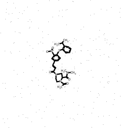 CC(=O)N1CCN(C(=O)C=Cc2ccc(Sc3ccccc3C(C)C)c([N+](=O)[O-])c2)CC1C(=O)N(C)C